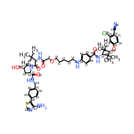 CC(C)(C)[C@H](NC(=O)COCCCCCNc1ccc(C(=O)N[C@H]2C(C)(C)[C@H](Oc3ccc(C#N)c(Cl)c3)C2(C)C)cc1)C(=O)N1C[C@H](O)C[C@H]1C(=O)NCc1ccc(-c2scnc2N)cc1